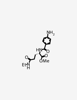 CCNC(=O)CC[C@H](NC(=O)c1ccc(N)cc1)C(=O)OC